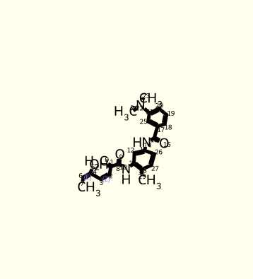 C=C(/C=C\C(O)=C/C)C(=O)Nc1cc(NC(=O)c2cccc(N(C)C)c2)ccc1C